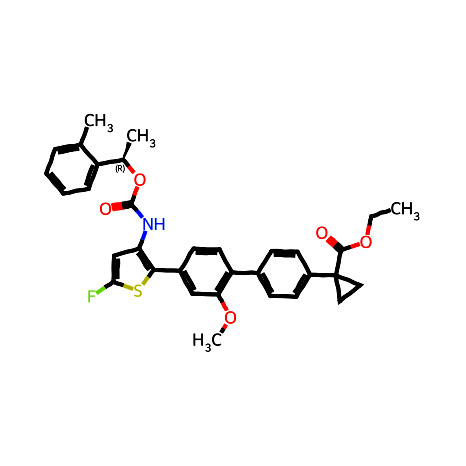 CCOC(=O)C1(c2ccc(-c3ccc(-c4sc(F)cc4NC(=O)O[C@H](C)c4ccccc4C)cc3OC)cc2)CC1